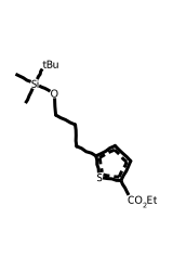 CCOC(=O)c1ccc(CCCO[Si](C)(C)C(C)(C)C)s1